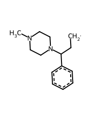 [CH2]CC(c1ccccc1)N1CCN(C)CC1